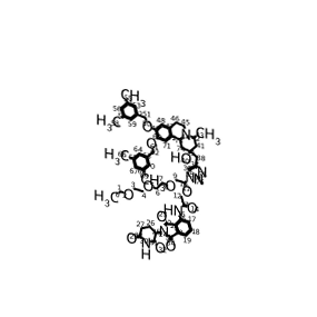 CCOCCOCCOCC(OCC(=O)Nc1cccc2c1C(=O)N(C1CCC(=O)NC1=O)C2=O)n1cc(CC2(O)CC(C)N3CCc4cc(OCc5cc(C)cc(C)c5)c(OCc5cc(C)cc(C)c5)cc4C3C2)nn1